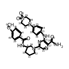 COc1ccc(C(=O)NC2CCCN(c3cnc(C(N)=O)c(Nc4ccc(N5CCS(=O)(=O)CC5)cc4)n3)C2)cc1